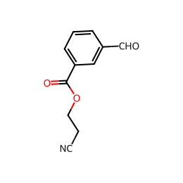 N#CCCOC(=O)c1cccc(C=O)c1